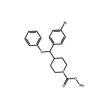 CC(C)(C)OC(=O)N1CCC(C(Oc2ccccc2)c2ccc(Br)cc2)CC1